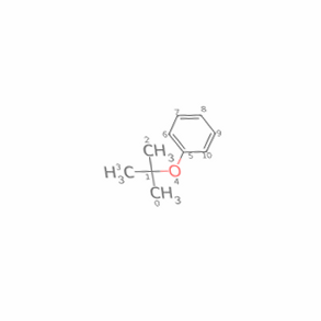 CC(C)(C)Oc1ccccc1